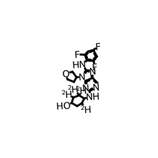 [2H]C1CC(O)C([2H])C([2H])([2H])C1Nc1ncc2nc(Nc3c(F)cc(F)cc3F)n(C3CCOC3)c2n1